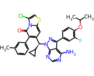 Cc1cccc(-c2c([C@H](C3CC3)n3nc(-c4ccc(OC(C)C)c(F)c4)c4c(N)ncnc43)cc3scc(Cl)n3c2=O)c1